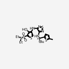 CCN(CC)S(=O)(=O)c1scc(Nc2nsnc2N[C@@H](c2ccc(C)s2)C(C)(C)C)c1O